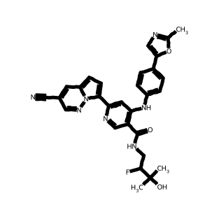 Cc1ncc(-c2ccc(Nc3cc(-c4ccc5cc(C#N)cnn45)ncc3C(=O)NCC(F)C(C)(C)O)cc2)o1